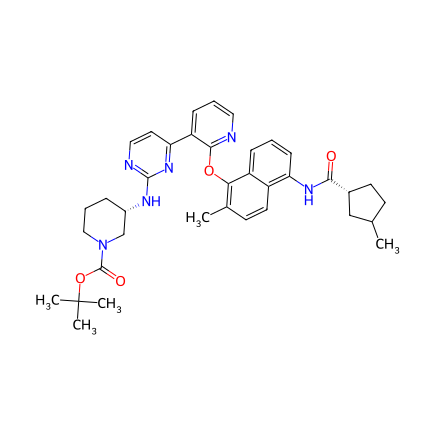 Cc1ccc2c(NC(=O)[C@@H]3CCC(C)C3)cccc2c1Oc1ncccc1-c1ccnc(N[C@H]2CCCN(C(=O)OC(C)(C)C)C2)n1